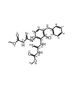 COC(=O)NC(=S)Nc1ncc(Sc2ccccc2)c(Cl)c1NC(=S)NC(=O)OC